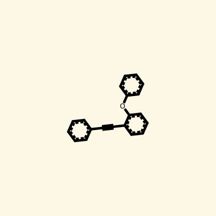 C(#Cc1ccccc1Oc1ccccc1)c1ccccc1